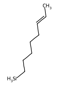 CC=CCCCCC[SiH3]